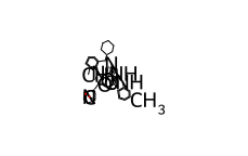 Cc1cccc(NC(=O)N[C@@H]2N=C(C3CCCCC3)c3cccc(C)c3N(CC(=O)N3CC4CCC(CC4)C3)C2=O)c1